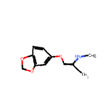 CC(COc1ccc2c(c1)OCO2)NC=O